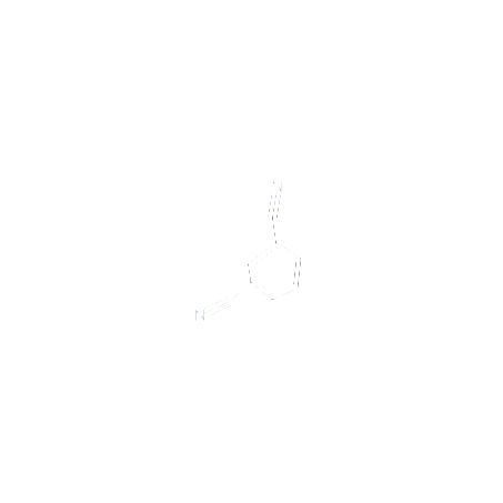 N#Cc1[c]ccc(C#N)c1